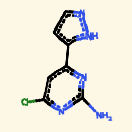 Nc1nc(Cl)cc(-c2ccn[nH]2)n1